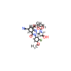 COc1ccc(-n2c([C@H]3C[C@H](O)CN3C(=O)OC(C)(C)C)nc3c(Br)cc(C#N)cc3c2=O)cc1F